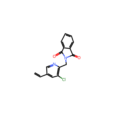 C=Cc1cnc(CN2C(=O)c3ccccc3C2=O)c(Cl)c1